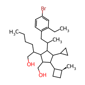 CCCCC(CO)C1C(CO)C(C2CC[C@@H]2C)C(C2CC2)C1C(C)Cc1ccc(Br)cc1CC